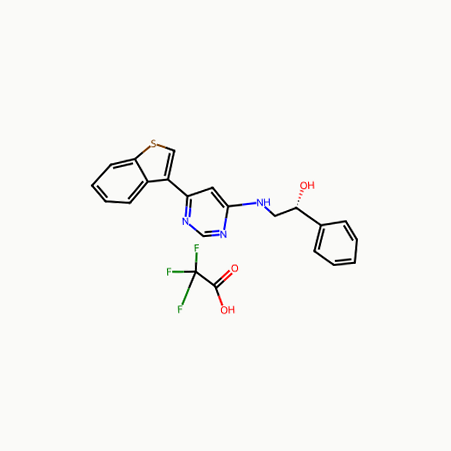 O=C(O)C(F)(F)F.O[C@@H](CNc1cc(-c2csc3ccccc23)ncn1)c1ccccc1